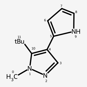 Cn1ncc(-c2ccc[nH]2)c1C(C)(C)C